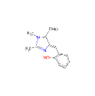 CC1=NC(=Cc2ccccc2O)C(C=O)N1C